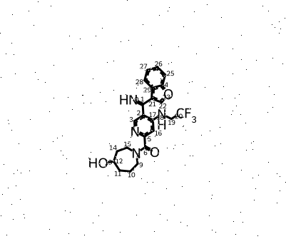 N=C(c1cnc(C(=O)N2CCCC(O)CC2)cc1NCC(F)(F)F)c1coc2ccccc12